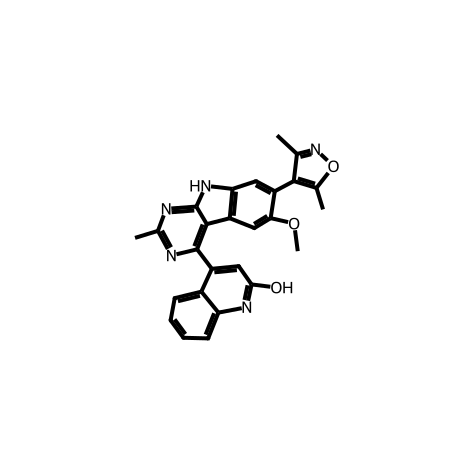 COc1cc2c(cc1-c1c(C)noc1C)[nH]c1nc(C)nc(-c3cc(O)nc4ccccc34)c12